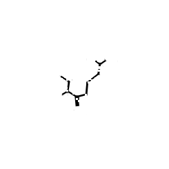 C=C(CCCC(C)C)C(O)CO